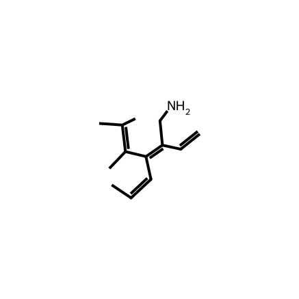 C=C/C(CN)=C(\C=C/C)C(C)=C(C)C